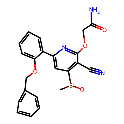 C[S+]([O-])c1cc(-c2ccccc2OCc2ccccc2)nc(OCC(N)=O)c1C#N